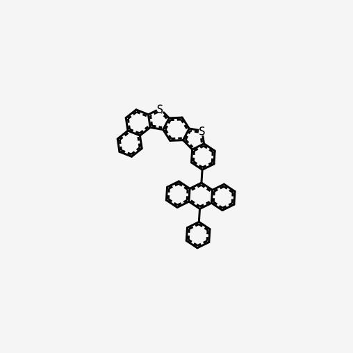 c1ccc(-c2c3ccccc3c(-c3ccc4sc5cc6sc7ccc8ccccc8c7c6cc5c4c3)c3ccccc23)cc1